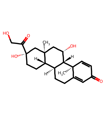 C[C@]12C[C@H](O)[C@H]3[C@@H](CCC4=CC(=O)C=C[C@@]43C)[C@@H]1CC[C@@](O)(C(=O)CO)C2